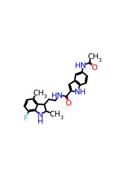 CC(=O)Nc1ccc2[nH]c(C(=O)NCCC3c4c(C)ccc(F)c4NC3C)cc2c1